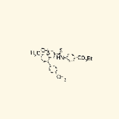 CCOC(=O)c1ccc(NC(=S)c2ccc3c(c2)C(c2ccc(C)cc2)=CCC3(C)C)cc1